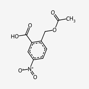 CC(=O)OCc1ccc([N+](=O)[O-])cc1C(=O)O